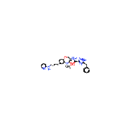 CN1C(=O)[C@@H](NC(=O)c2n[nH]c(Cc3ccccc3)n2)COc2ccc(CCCCNc3ccccn3)cc21